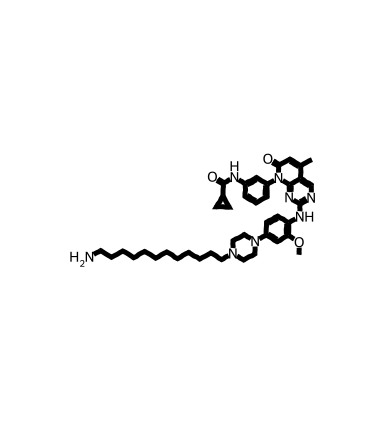 COc1cc(N2CCN(CCCCCCCCCCCCN)CC2)ccc1Nc1ncc2c(C)cc(=O)n(-c3cccc(NC(=O)C4CC4)c3)c2n1